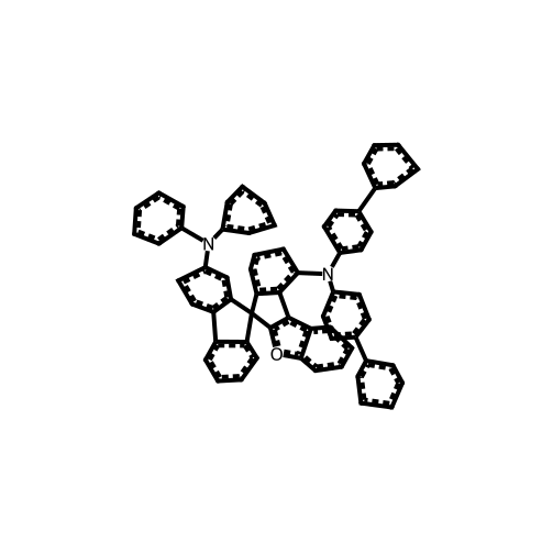 c1ccc(-c2ccc(N(c3ccc(-c4ccccc4)cc3)c3cccc4c3-c3c(oc5ccccc35)C43c4ccccc4-c4ccc(N(c5ccccc5)c5ccccc5)cc43)cc2)cc1